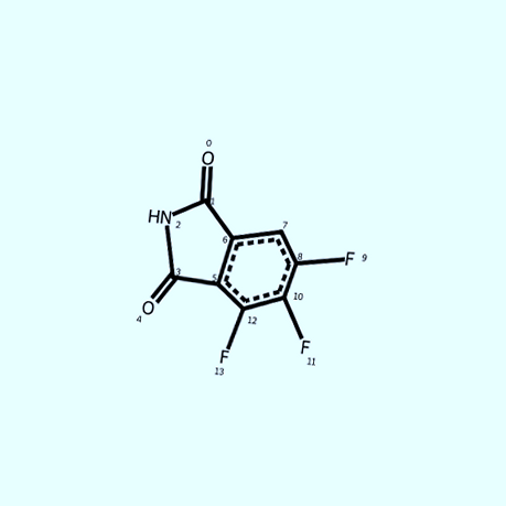 O=C1NC(=O)c2c1cc(F)c(F)c2F